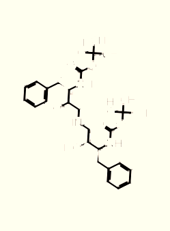 CC(C)(C)OC(=O)N[C@@H](Cc1ccccc1)[C@@H](O)CNCC(O)[C@@H](Cc1ccccc1)NC(=O)OC(C)(C)C